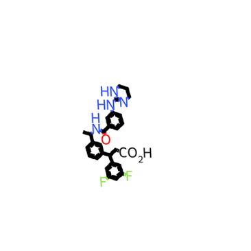 CC(NC(=O)c1cccc(NC2=NCCCN2)c1)c1cccc(C(CC(=O)O)c2cc(F)cc(F)c2)c1